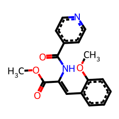 COC(=O)C(=Cc1ccccc1OC)NC(=O)c1ccncc1